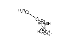 CC(C)(C)OC(=O)CCC(NC(=O)c1ccc(C#CC#Cc2ccc(N)cc2)cc1)C(=O)NO